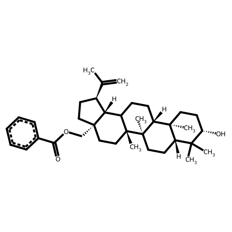 C=C(C)[C@@H]1CC[C@]2(COC(=O)c3ccccc3)CC[C@]3(C)C(CC[C@@H]4[C@@]5(C)CC[C@H](O)C(C)(C)[C@@H]5CC[C@]43C)[C@@H]12